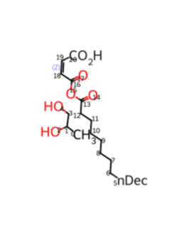 CC(O)CO.CCCCCCCCCCCCCCCCCC(=O)OC(=O)/C=C\C(=O)O